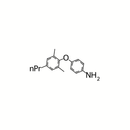 CCCc1cc(C)c(Oc2ccc(N)cc2)c(C)c1